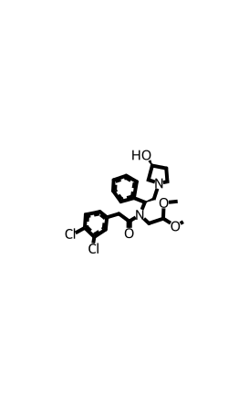 COC(CN(C(=O)Cc1ccc(Cl)c(Cl)c1)[C@H](CN1CC[C@H](O)C1)c1ccccc1)OC